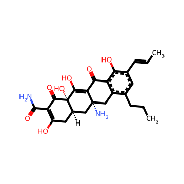 C/C=C/c1cc(CCC)c2c(c1O)C(=O)C1=C(O)[C@]3(O)C(=O)C(C(N)=O)=C(O)C[C@@H]3C[C@]1(N)C2